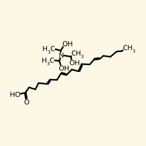 CC(O)N(C(C)O)C(C)O.CCCCCC=CCC=CCC=CCC=CCCCC(=O)O